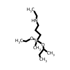 CCNCCC[Si](C)(OCC)OC(C)CC